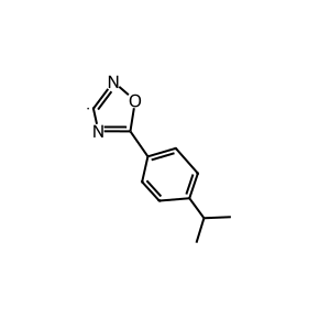 CC(C)c1ccc(-c2n[c]no2)cc1